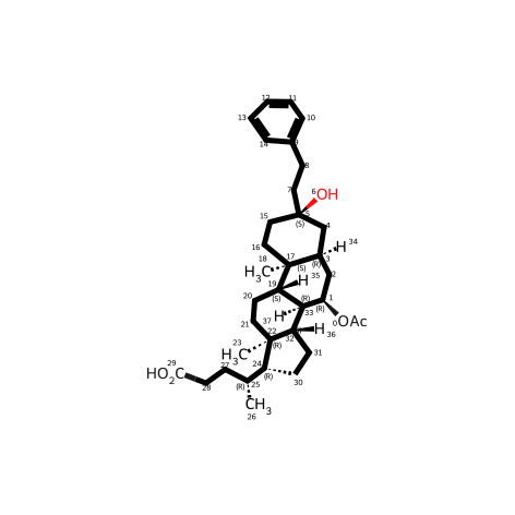 CC(=O)O[C@@H]1C[C@@H]2C[C@@](O)(CCc3ccccc3)CC[C@]2(C)[C@H]2CC[C@]3(C)[C@@H]([C@H](C)CCC(=O)O)CC[C@H]3[C@H]12